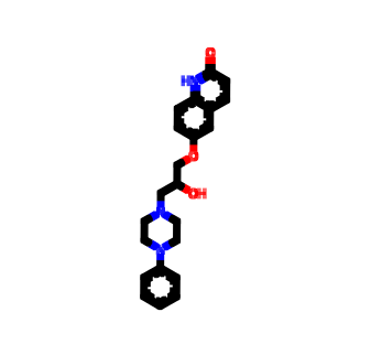 O=c1ccc2cc(OCC(O)CN3CCN(c4ccccc4)CC3)ccc2[nH]1